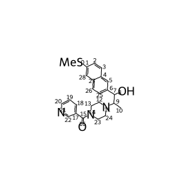 CSc1ccc2cc(C(O)C(C)N3CCN(C(=O)c4cccnc4)CC3)ccc2c1